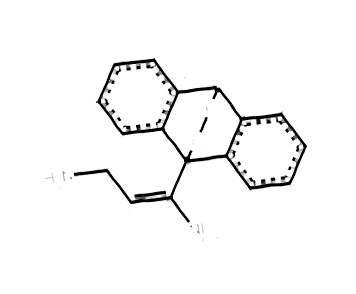 NC/C=C(/N)C12CCC(c3ccccc31)c1ccccc12